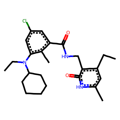 CCc1cc(C)[nH]c(=O)c1CNC(=O)c1cc(Cl)cc(N(CC)C2CCCCC2)c1C